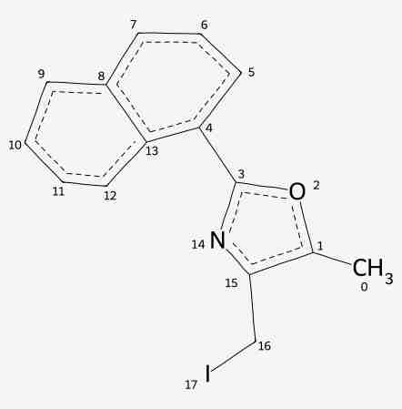 Cc1oc(-c2cccc3ccccc23)nc1CI